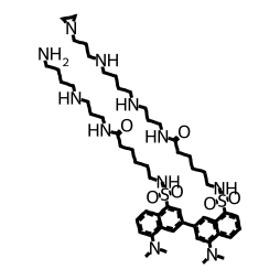 CN(C)c1cccc2c(S(=O)(=O)NCCCCCC(=O)NCCCNCCCCN)cc(-c3cc(N(C)C)c4cccc(S(=O)(=O)NCCCCCC(=O)NCCCNCCCCNCCCN5CC5)c4c3)cc12